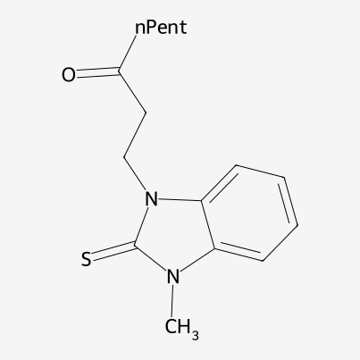 CCCCCC(=O)CCn1c(=S)n(C)c2ccccc21